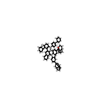 c1ccc(-c2ccc(N3B4c5c(cc6ccccc6c5-n5c6ccc(C78CC9CC(CC(C9)C7)C8)cc6c6cc(C78CC9CC(CC(C9)C7)C8)cc4c65)-c4c3ccc3oc5ccccc5c43)cc2)cc1